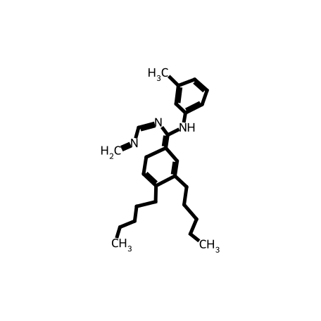 C=N/C=N\C(Nc1cccc(C)c1)=C1\C=C(CCCCC)C(CCCCC)=CC1